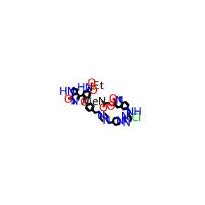 CCS(=O)(=O)Nc1ccc(Oc2ccc(CCN3CCN(CC4CCN(c5ncc(Cl)c(Nc6ccc7c(c6)cc(OCC(=O)NC)c(=O)n7C)n5)CC4)CC3)cc2)c(-c2cn(C)c(=O)c3[nH]ccc23)c1